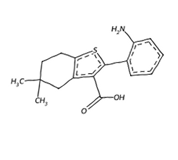 CC1(C)CCc2sc(-c3ccccc3N)c(C(=O)O)c2C1